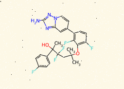 CC(C)(CC(F)(F)C(C)(O)c1ccc(F)cc1)Oc1c(F)ccc(-c2ccn3nc(N)nc3c2)c1F